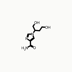 NC(=O)c1cn(C(CO)CCO)cn1